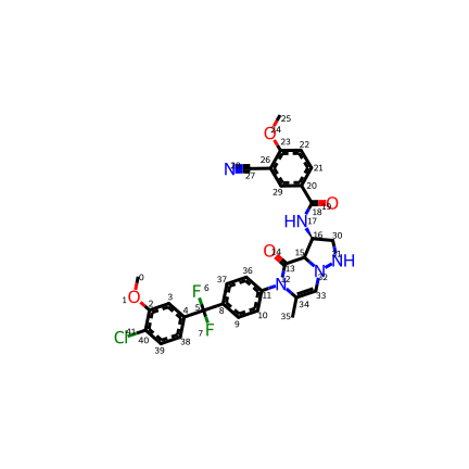 COc1cc(C(F)(F)c2ccc(N3C(=O)C4[C@@H](NC(=O)c5ccc(OC)c(C#N)c5)CNN4C=C3C)cc2)ccc1Cl